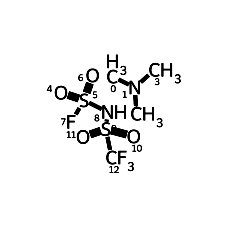 CN(C)C.O=S(=O)(F)NS(=O)(=O)C(F)(F)F